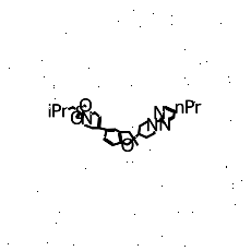 CCCc1cnc(N2CCC(C3(C)Cc4cc(C5=CCN(S(=O)(=O)CC(C)C)CC5)ccc4O3)CC2)nc1